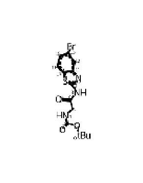 CC(C)(C)OC(=O)NCC(=O)Nc1nc2cc(Br)ccc2s1